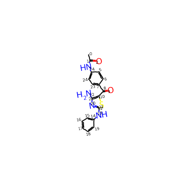 CC(=O)Nc1ccc(C(=O)c2sc(Nc3ccccc3)nc2N)cc1